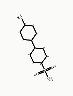 CC1CCC(C2CCC(S(C)(=O)=O)CC2)CC1